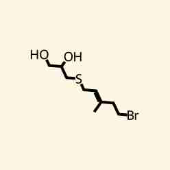 C/C(=C\CSCC(O)CO)CCBr